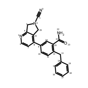 N#CN1Cc2nccc(-c3ccc(Cc4ccccc4)c(C(N)=O)c3)c2C1